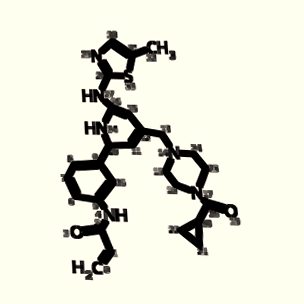 C=CC(=O)Nc1cccc(C2C=C(CN3CCN(C(=O)C4CC4)CC3)C=C(Nc3ncc(C)s3)N2)c1